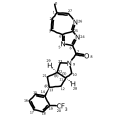 Cc1ccc2nc(C(=O)N3C[C@H]4C[C@@H](c5ccccc5C(F)(F)F)C[C@H]4C3)nc-2nc1